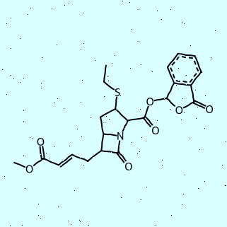 CCSC1CC2C(CC=CC(=O)OC)C(=O)N2C1C(=O)OC1OC(=O)c2ccccc21